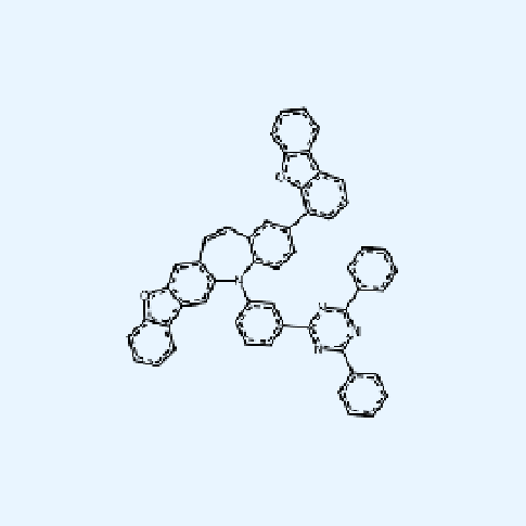 C1=Cc2cc3oc4ccccc4c3cc2N(c2cccc(-c3nc(-c4ccccc4)nc(-c4ccccc4)n3)c2)c2ccc(-c3cccc4c3oc3ccccc34)cc21